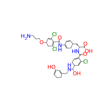 NCCCOC1C=C(Cl)C(C(=O)NC2=CCC(C[C@H](NC(=O)C3=CCC(C(O)NCC4=CC(O)=CCC4)C=C3Cl)C(=O)O)C=C2)=C(Cl)C1